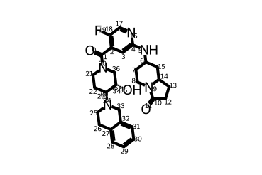 O=C(c1cc(NC2CCN3C(=O)CCC3C2)ncc1F)N1CC[C@H](N2CCc3ccccc3C2)[C@@H](O)C1